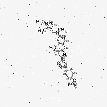 Cc1c(CN(C)c2ccc(Cn3nc(-c4nc(-c5ccc(OC(F)F)cc5)no4)cc3C)cn2)cnn1C